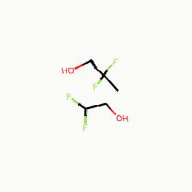 CC(F)(F)CO.OCC(F)F